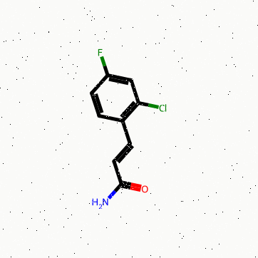 NC(=O)C=Cc1ccc(F)cc1Cl